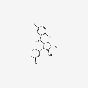 O=C1CN(C(=O)c2cc(F)ccc2Cl)C(c2cccc(Br)c2)N1O